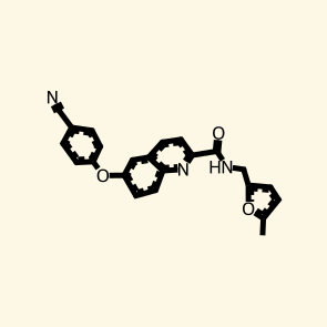 Cc1ccc(CNC(=O)c2ccc3cc(Oc4ccc(C#N)cc4)ccc3n2)o1